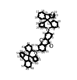 O=c1c2ccc(N3c4ccccc4C4(c5ccccc5-c5ccccc54)c4ccccc43)cc2oc2cc(N3c4ccccc4C4(c5ccccc5-c5ccccc54)c4ccccc43)ccc12